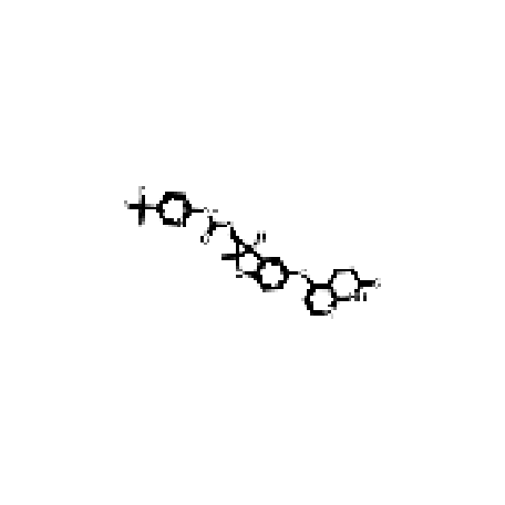 CC12Oc3ccc(Oc4ccnc5c4CCC(=O)N5)cc3[C@H]1/C2=N/C(=O)Nc1ccc(C(F)(F)F)cn1